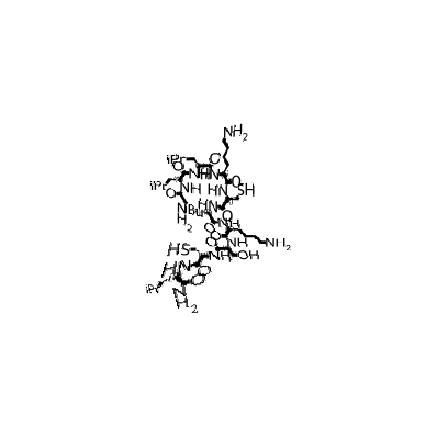 CC[C@H](C)[C@H](NC(=O)[C@H](CS)NC(=O)[C@H](CCCCN)NC(=O)[C@H](CC(C)C)NC(=O)[C@H](CC(C)C)NC(=O)CN)C(=O)N[C@@H](CCCCN)C(=O)N[C@H](C(=O)N[C@@H](CS)C(=O)N[C@@H](CC(C)C)C(N)=O)[C@@H](C)O